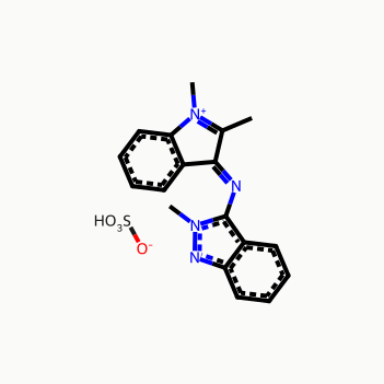 CC1=[N+](C)c2ccccc2C1=Nc1c2ccccc2nn1C.O=S(=O)([O-])O